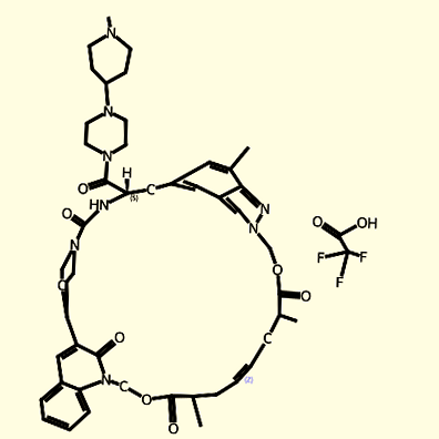 Cc1cc2cc3cn(nc13)COC(=O)C(C)C/C=C\CC(C)C(=O)OCn1c(=O)c(cc3ccccc31)C1CCN(CC1)C(=O)N[C@H](C(=O)N1CCN(C3CCN(C)CC3)CC1)C2.O=C(O)C(F)(F)F